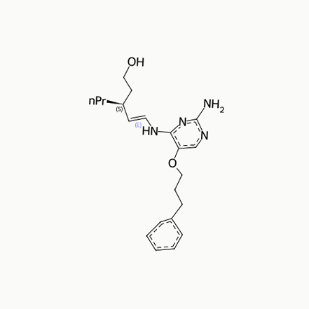 CCC[C@H](/C=C/Nc1nc(N)ncc1OCCCc1ccccc1)CCO